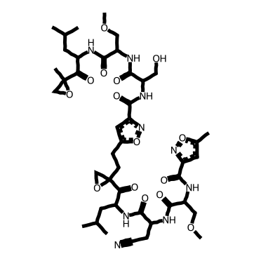 COCC(NC(=O)c1cc(C)on1)C(=O)NC(CC#N)C(=O)NC(CC(C)C)C(=O)C1(CCc2cc(C(=O)NC(CO)C(=O)NC(COC)C(=O)NC(CC(C)C)C(=O)C3(C)CO3)no2)CO1